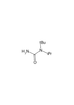 CC(C)N(C(N)=O)C(C)(C)C